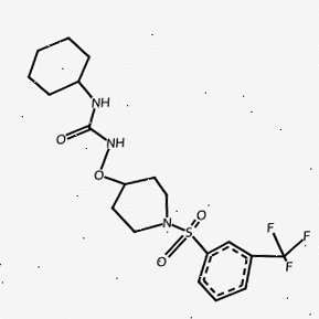 O=C(NOC1CCN(S(=O)(=O)c2cccc(C(F)(F)F)c2)CC1)NC1CCCCC1